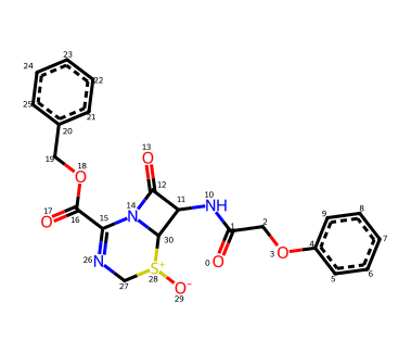 O=C(COc1ccccc1)NC1C(=O)N2C(C(=O)OCc3ccccc3)=NC[S+]([O-])C12